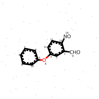 O=Cc1cc(Oc2ccccc2)ccc1N=O